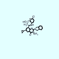 C[C@@H](Nc1ccc(Cl)nc1C(=O)O)c1cc(C2CC2)cc2c(=O)n(C)c(N3Cc4ccccc4C3)nc12